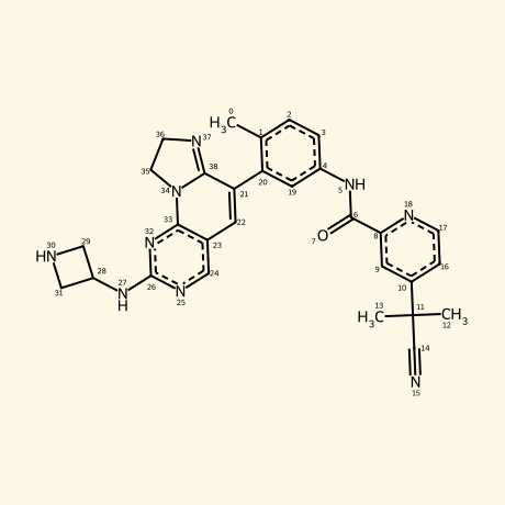 Cc1ccc(NC(=O)c2cc(C(C)(C)C#N)ccn2)cc1C1=Cc2cnc(NC3CNC3)nc2N2CCN=C12